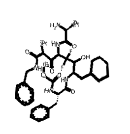 CC(C)C(C(=O)NCc1ccccc1)C(=O)C(NC(=O)[C@@H](N)C(C)C)C(F)(F)C(O)C(CC1CCCCC1)NC(=O)[C@H](Cc1ccccc1)NC(=O)OC(C)(C)C